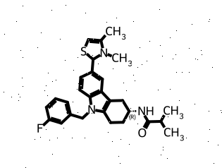 CC1=CSC(c2ccc3c(c2)c2c(n3Cc3cccc(F)c3)CC[C@@H](NC(=O)C(C)C)C2)N1C